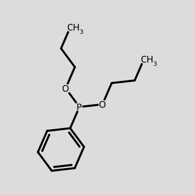 CCCOP(OCCC)c1ccccc1